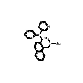 CC(C)(C)P(Cc1c(CP(c2cnccn2)c2cnccn2)ccc2ccccc12)C(C)(C)C